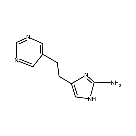 Nc1nc(CCc2cncnc2)c[nH]1